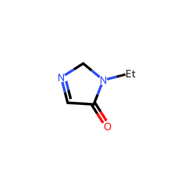 CCN1CN=CC1=O